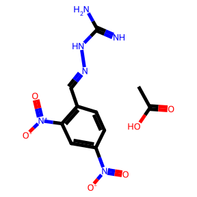 CC(=O)O.N=C(N)NN=Cc1ccc([N+](=O)[O-])cc1[N+](=O)[O-]